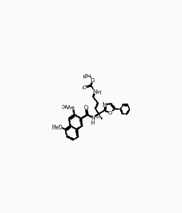 COc1cc2c(OC)cccc2cc1C(=O)N[C@](C)(CCCNC(=O)OC(C)(C)C)c1ncc(-c2ccccc2)o1